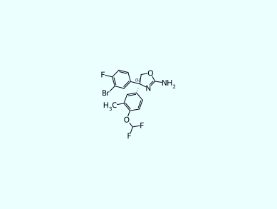 Cc1cc([C@]2(c3ccc(F)c(Br)c3)COC(N)=N2)ccc1OC(F)F